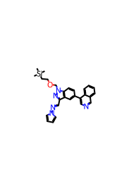 C[Si](C)(C)CCOCn1nc(C=Nn2cccc2)c2cc(-c3cncc4ccccc34)ccc21